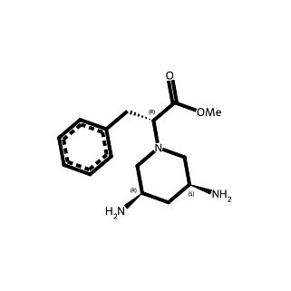 COC(=O)[C@@H](Cc1ccccc1)N1C[C@H](N)C[C@H](N)C1